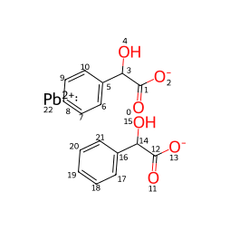 O=C([O-])C(O)c1ccccc1.O=C([O-])C(O)c1ccccc1.[Pb+2]